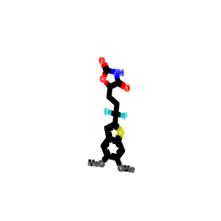 COc1cc2cc(C(F)(F)CCC3OC(=O)NC3=O)sc2cc1OC